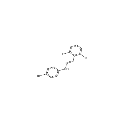 Fc1cccc(Cl)c1C=NNc1ccc(Br)cc1